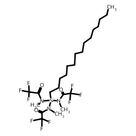 CCCCCCCCCCCCCCC[Si](N(C)C(=O)C(F)(F)F)(N(C)C(=O)C(F)(F)F)N(C)C(=O)C(F)(F)F